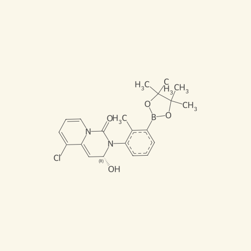 Cc1c(B2OC(C)(C)C(C)(C)O2)cccc1N1C(=O)N2C=CC=C(Cl)C2=C[C@H]1O